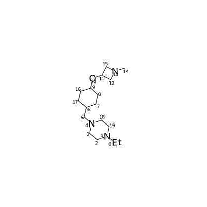 CCN1CCN(CC2CCC(OC3CN(C)C3)CC2)CC1